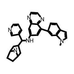 CN1C2CCC1CC(C(Nc1cc(-c3ccc4ccn(C)c4c3)c3nccnc3c1)c1cccnc1)C2